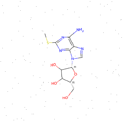 CSc1nc(N)c2ncn([C@@H]3O[C@H](CO)C(O)C3O)c2n1